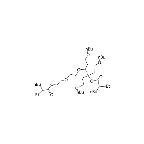 CCCCOCCC(OCCOCCOC(=O)C(CC)CCCC)C(CCOCCCC)(CCOCCCC)OC(=O)C(CC)CCCC